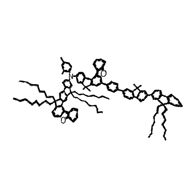 CCCCCCCCC1(CCCCCCCC)c2cc(N(c3ccc4c(c3)C(C)(C)c3cc(-c5ccc(-c6ccc7c(c6)C(C)(C)c6cc(-c8ccc9c(c8)C(CCCCCCC)(CCCCCCC)c8ccccc8-9)ccc6-7)cc5)c5oc6ccccc6c5c3-4)c3ccc(C)cc3C)ccc2-c2cc3c(cc21)-c1c(ccc2oc4ccccc4c12)C3(CCCCCCCC)CCCCCCCC